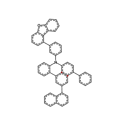 c1ccc(-c2ccc(N(c3cccc(-c4cccc5oc6ccccc6c45)c3)c3ccccc3-c3cccc(-c4cccc5ccccc45)c3)cc2)cc1